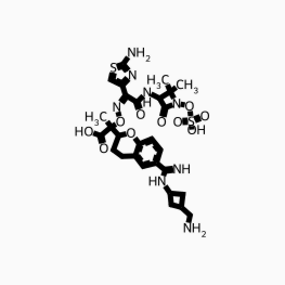 CC(ON=C(C(=O)NC1C(=O)N(OS(=O)(=O)O)C1(C)C)c1csc(N)n1)(C(=O)O)C1CCc2cc(C(=N)NC3CC(CN)C3)ccc2O1